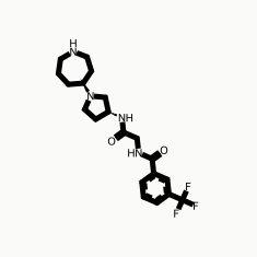 O=C(CNC(=O)c1cccc(C(F)(F)F)c1)N[C@@H]1CCN([C@H]2CCCNCC2)C1